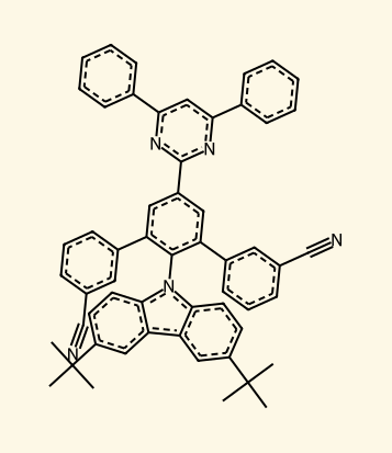 CC(C)(C)c1ccc2c(c1)c1cc(C(C)(C)C)ccc1n2-c1c(-c2cccc(C#N)c2)cc(-c2nc(-c3ccccc3)cc(-c3ccccc3)n2)cc1-c1cccc(C#N)c1